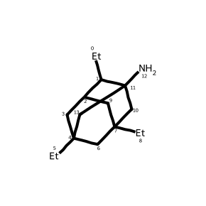 CCC1C2CC3(CC)CC(CC)(C2)CC1(N)C3